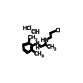 Cc1cccc(C)c1NCC(C)NCCCl.Cl.Cl